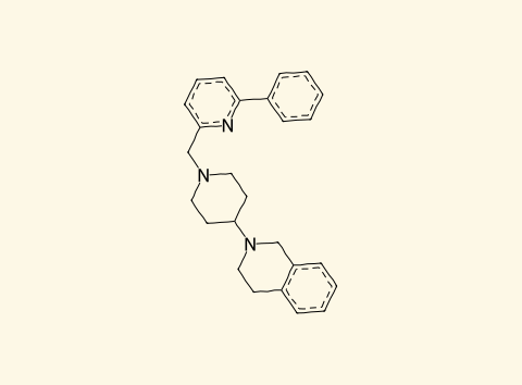 c1ccc(-c2cccc(CN3CCC(N4CCc5ccccc5C4)CC3)n2)cc1